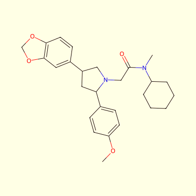 COc1ccc(C2CC(c3ccc4c(c3)OCO4)CN2CC(=O)N(C)C2CCCCC2)cc1